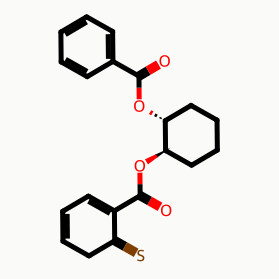 O=C(O[C@@H]1CCCC[C@H]1OC(=O)c1ccccc1)C1=CC=CCC1=S